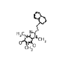 Cn1c(=O)c2c(nc(SCc3cccc4ccccc34)n2C)n(C)c1=O